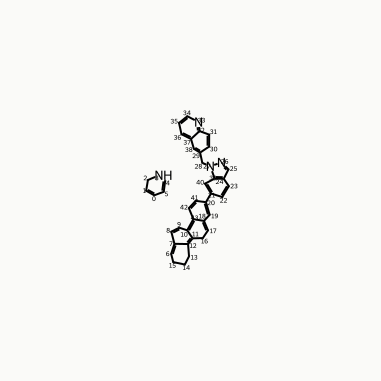 C1=CCNC=C1.C1=c2ccc3c(c2CCC1)CC=c1cc(-c2ccc4cnn(Cc5ccc6ncccc6c5)c4c2)ccc1=3